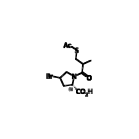 CC(=O)SCC(C)C(=O)N1CC(Br)C[C@H]1C(=O)O